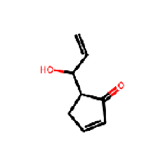 C=CC(O)C1CC=CC1=O